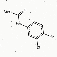 COC(=O)Nc1ccc(Br)c(Cl)c1